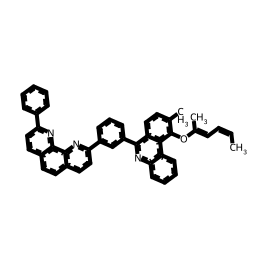 C/C=C\C=C(/C)Oc1c(C)ccc2c(-c3cccc(-c4ccc5ccc6ccc(-c7ccccc7)nc6c5n4)c3)nc3ccccc3c12